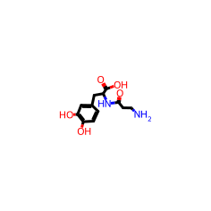 NCCC(=O)NC(Cc1ccc(O)c(O)c1)C(=O)O